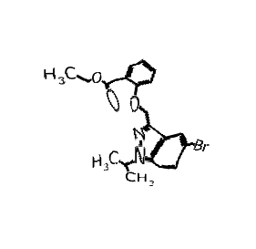 CCOC(=O)c1ccccc1OCc1nn(C(C)C)c2ccc(Br)cc12